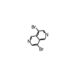 Brc1cncc2c(Br)cncc12